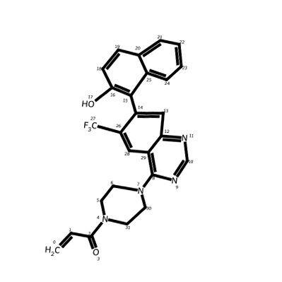 C=CC(=O)N1CCN(c2ncnc3cc(-c4c(O)ccc5ccccc45)c(C(F)(F)F)cc23)CC1